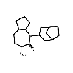 CNC1CCC2CCCC2N(C2CC3CCC(C3)C2)C1=O